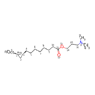 CCCCCCCC[C@@H]1C[C@@H]1CCCCCCCC(=O)OCCCN(C)C